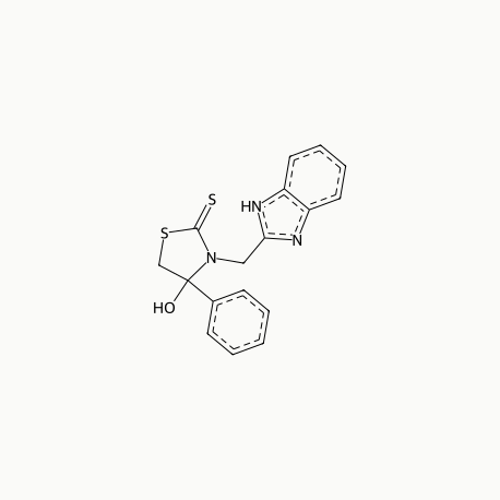 OC1(c2ccccc2)CSC(=S)N1Cc1nc2ccccc2[nH]1